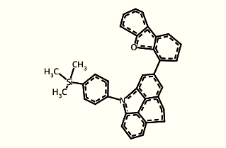 C[Si](C)(C)c1ccc(-n2c3cccc4ccc5cc(-c6cccc7c6oc6ccccc67)cc2c5c43)cc1